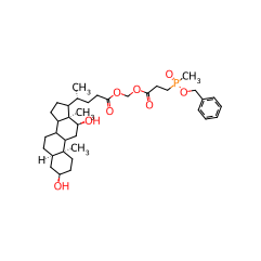 C[C@H](CCC(=O)OCOC(=O)CCP(C)(=O)OCc1ccccc1)C1CCC2C3CC[C@@H]4C[C@H](O)CC[C@]4(C)C3C[C@H](O)[C@@]21C